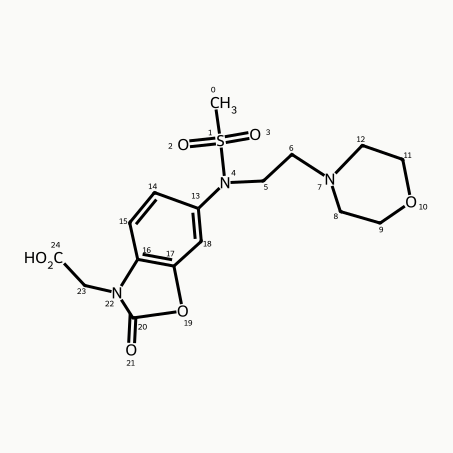 CS(=O)(=O)N(CCN1CCOCC1)c1ccc2c(c1)oc(=O)n2CC(=O)O